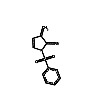 C=C1C=CN(S(=O)(=O)c2ccccc2)C1=N